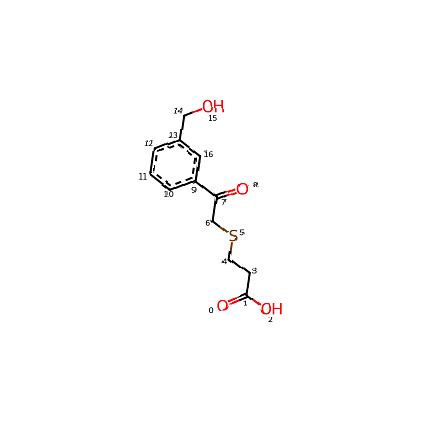 O=C(O)CCSCC(=O)c1cccc(CO)c1